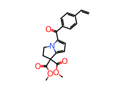 C=Cc1ccc(C(=O)c2ccc3n2CCC3(C(=O)OC)C(=O)OC)cc1